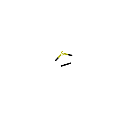 CC.CSC